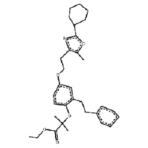 CCOC(=O)C(C)(C)Oc1ccc(OCCc2nc(C3CCCCC3)oc2C)cc1CCc1ccccc1